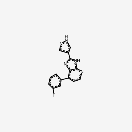 Fc1cccc(-c2ccnc3[nH]c(-c4cn[nH]c4)nc23)c1